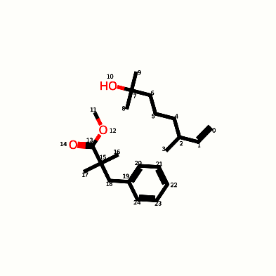 C=CC(C)CCCC(C)(C)O.COC(=O)C(C)(C)Cc1ccccc1